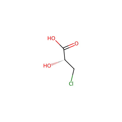 O=C(O)[C@@H](O)CCl